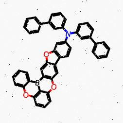 c1ccc(-c2cccc(N(c3cccc(-c4ccccc4)c3)c3ccc4c(c3)oc3cc5c(cc34)Oc3cccc4c3B5c3ccccc3O4)c2)cc1